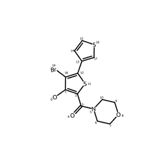 [O]c1c(C(=O)N2CCOCC2)sc(-c2ccsc2)c1Br